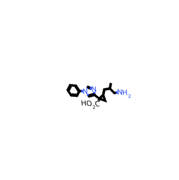 CC(CN)CC1CC1(C(=O)O)c1cn(-c2ccccc2)cn1